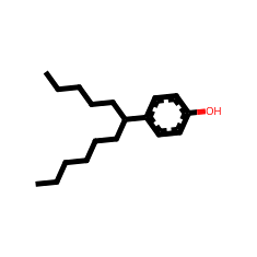 CCCCCCC(CCCCC)c1ccc(O)cc1